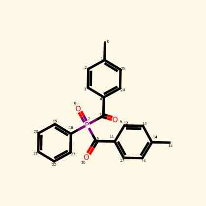 Cc1ccc(C(=O)P(=O)(C(=O)c2ccc(C)cc2)c2ccccc2)cc1